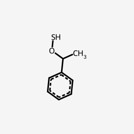 CC(OS)c1ccccc1